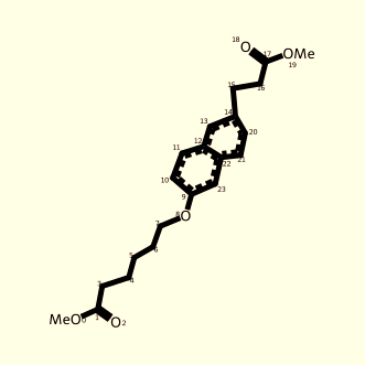 COC(=O)CCCCCOc1ccc2cc(CCC(=O)OC)ccc2c1